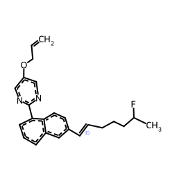 C=CCOc1cnc(-c2cccc3cc(/C=C/CCCC(C)F)ccc23)nc1